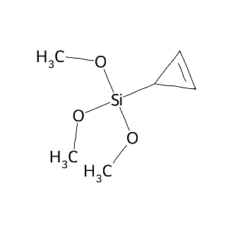 CO[Si](OC)(OC)C1C=C1